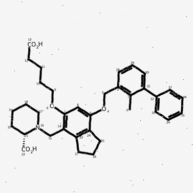 Cc1c(COc2cc(OCCCCC(=O)O)c(CN3CCCC[C@H]3C(=O)O)c3c2CCC3)cccc1-c1ccccc1